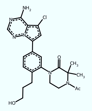 CC(=O)N1CCN(c2cc(-c3cc(Cl)c4c(N)ncnn34)ccc2CCCO)C(=O)C1(C)C